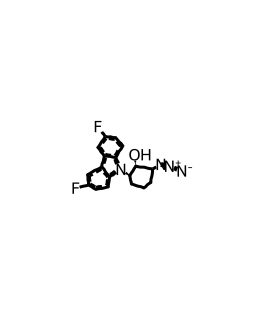 [N-]=[N+]=NC1CCC[C@@H](n2c3ccc(F)cc3c3cc(F)ccc32)[C@@H]1O